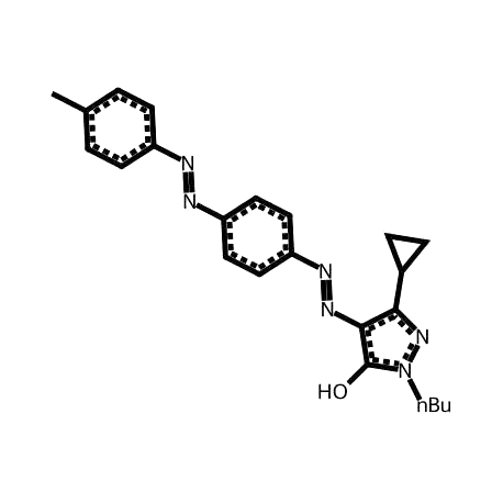 CCCCn1nc(C2CC2)c(N=Nc2ccc(N=Nc3ccc(C)cc3)cc2)c1O